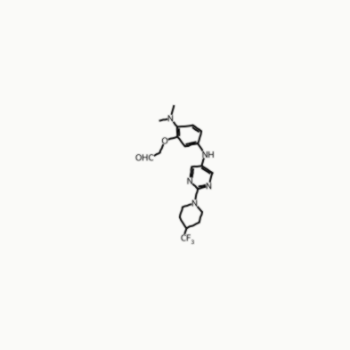 CN(C)c1ccc(Nc2cnc(N3CCC(C(F)(F)F)CC3)nc2)cc1OCC=O